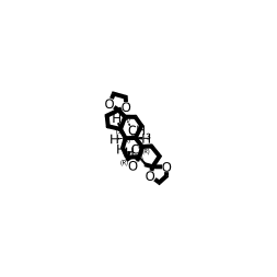 C[C@]12CC[C@H]3[C@@H](C[C@H]4O[C@]45CC4(CC[C@]35C)OCCO4)[C@@H]1CCC21OCCO1